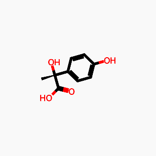 C[C@](O)(C(=O)O)c1ccc(O)cc1